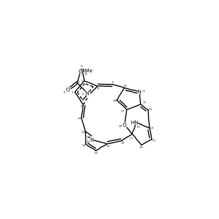 COc1cc2n(C(=O)C(F)(F)F)c1=CC1=NC3=CC4=CCC(C=C5C=CC(=N5)C=2)(N4)OC3=C1